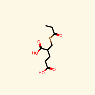 CCC(=O)SCC(CCC(=O)O)C(=O)O